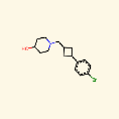 OC1CCN(CC2CC(c3ccc(Br)cc3)C2)CC1